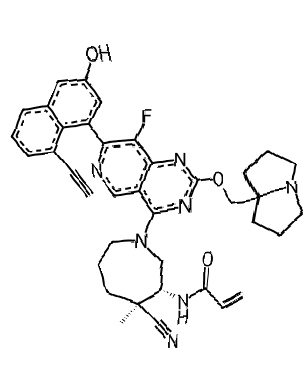 C#Cc1cccc2cc(O)cc(-c3ncc4c(N5CCC[C@](C)(C#N)[C@@H](NC(=O)C=C)C5)nc(OCC56CCCN5CCC6)nc4c3F)c12